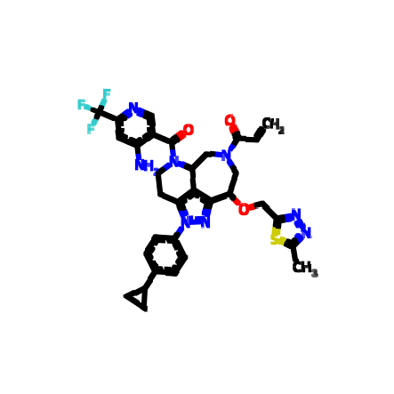 C=CC(=O)N1CC(OCc2nnc(C)s2)c2nn(-c3ccc(C4CC4)cc3)c3c2C(C1)N(C(=O)c1cnc(C(F)(F)F)cc1N)CC3